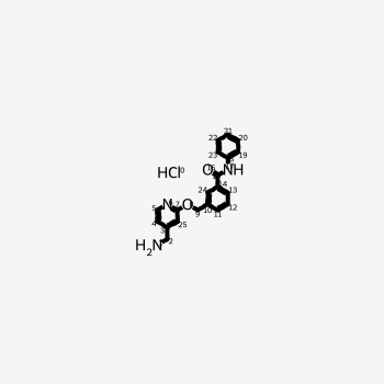 Cl.NCc1ccnc(OCc2cccc(C(=O)Nc3ccccc3)c2)c1